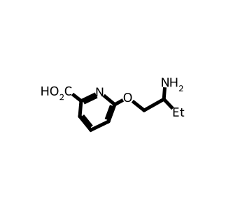 CCC(N)COc1cccc(C(=O)O)n1